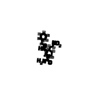 NC(=O)N1C=C(NOCc2ccccc2)C(CC[N+](=O)[O-])CC1